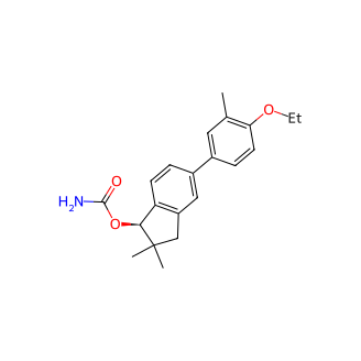 CCOc1ccc(-c2ccc3c(c2)CC(C)(C)[C@H]3OC(N)=O)cc1C